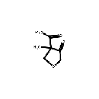 COC(=O)C1(C)COCC1=O